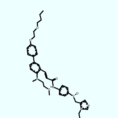 CCCCOCCOc1ccc(-c2ccc(N(C)CCOC)c(/C=C/C(=O)Nc3ccc([S@@+]([O-])Cc4cncn4CCC)cc3)c2)cc1